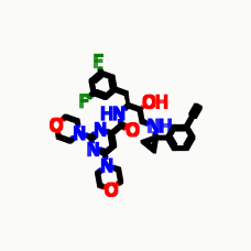 C#Cc1cccc(C2(NC[C@@H](O)[C@H](Cc3cc(F)cc(F)c3)NC(=O)c3cc(N4CCOCC4)nc(N4CCOCC4)n3)CC2)c1